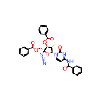 [N-]=[N+]=N[C@]1(COC(=O)c2ccccc2)O[C@@H](n2ccc(NC(=O)c3ccccc3)nc2=O)[C@H](F)[C@@H]1OC(=O)c1ccccc1